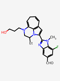 CCC1CN(CCCO)C2=CCC=Cc3cc(-c4nc5cc(C=O)cc(F)c5n4C)n1c32